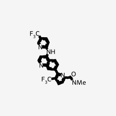 CNC(=O)c1ccc(C(F)(F)F)c(-c2ccc3c(Nc4ccc(C(F)(F)F)cn4)ccnc3c2)n1